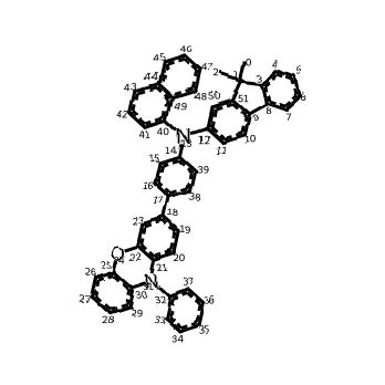 CC1(C)c2ccccc2-c2ccc(N(c3ccc(-c4ccc5c(c4)Oc4ccccc4N5c4ccccc4)cc3)c3cccc4ccccc34)cc21